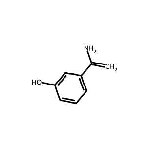 C=C(N)c1cccc(O)c1